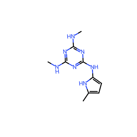 CNc1nc(NC)nc(Nc2ccc(C)[nH]2)n1